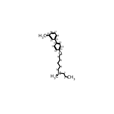 CCCN(C)CCCCCOc1ccc(-c2cccc(C)c2)cc1